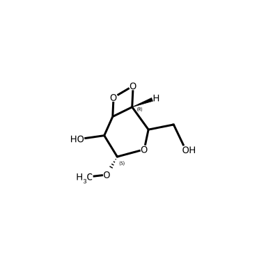 CO[C@H]1OC(CO)[C@H]2OOC2C1O